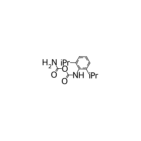 CC(C)c1cccc(C(C)C)c1NC(=O)OC(N)=O